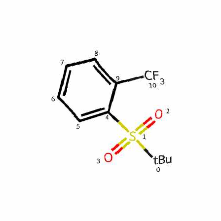 CC(C)(C)S(=O)(=O)c1ccccc1C(F)(F)F